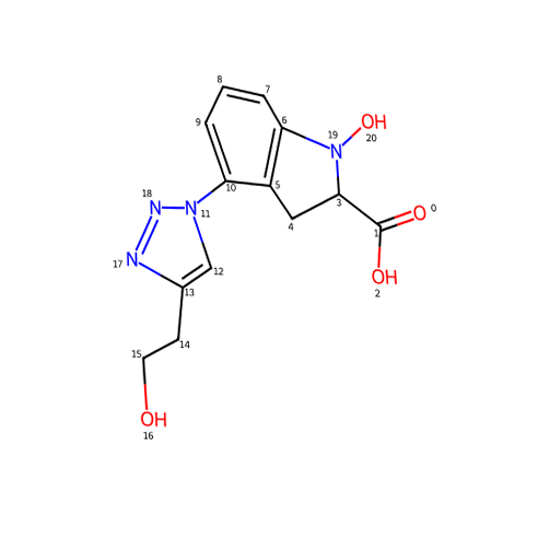 O=C(O)C1Cc2c(cccc2-n2cc(CCO)nn2)N1O